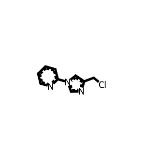 ClCc1cn(-c2ccccn2)cn1